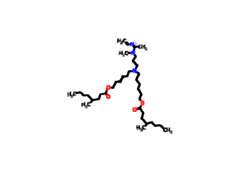 C=C/N=C(/C)N(C)CCCN(CCCCCCOC(=O)CCC(C)CCCC)CCCCCCOC(=O)CCC(C)CCCC